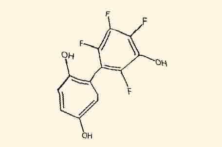 Oc1ccc(O)c(-c2c(F)c(O)c(F)c(F)c2F)c1